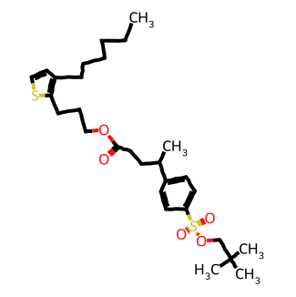 CCCCCCc1ccsc1CCCOC(=O)CCC(C)c1ccc(S(=O)(=O)OCC(C)(C)C)cc1